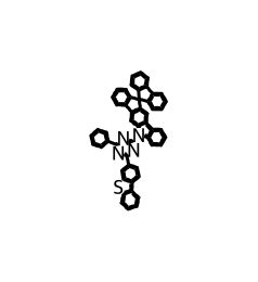 c1ccc(-c2nc(-c3ccc4c(c3)sc3ccccc34)nc(-n3c4ccccc4c4cc5c(cc43)-c3ccccc3C53c4ccccc4-c4ccccc43)n2)cc1